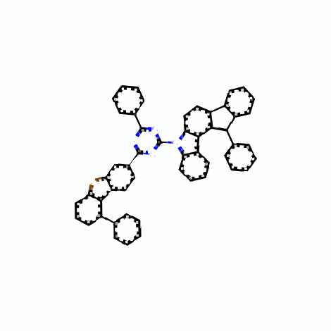 c1ccc(-c2nc(-c3ccc4c(c3)sc3cccc(-c5ccccc5)c34)nc(-n3c4ccccc4c4c5c(ccc43)-c3ccccc3C5c3ccccc3)n2)cc1